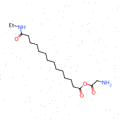 CCNC(=O)CCCCCCCCCCCCC(=O)OC(=O)CN